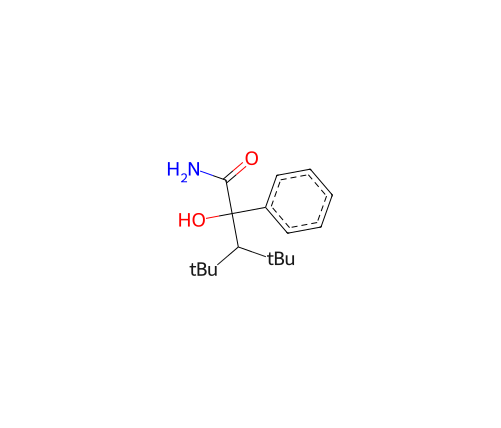 CC(C)(C)C(C(C)(C)C)C(O)(C(N)=O)c1ccccc1